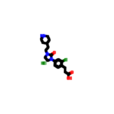 Cl.O=C(O)CCc1ccc(N2CCN(CCC3CCNCC3)C2=O)cc1Cl